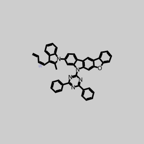 C=C/C=C\c1c(C)n(-c2ccc3c4cc5c(cc4n(-c4nc(-c6ccccc6)nc(-c6ccccc6)n4)c3c2)oc2ccccc25)c2ccccc12